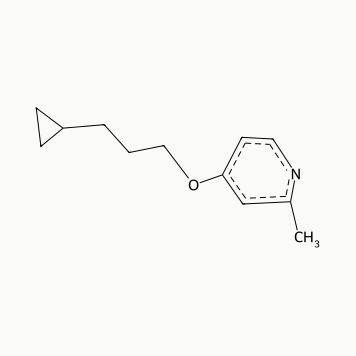 Cc1cc(OCCCC2CC2)ccn1